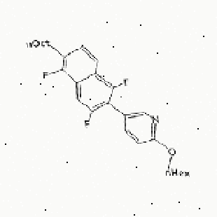 CCCCCCCCc1ccc2c(F)c(-c3ccc(OCCCCCC)nc3)c(F)cc2c1F